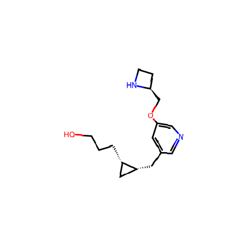 OCCC[C@H]1C[C@H]1Cc1cncc(OC[C@@H]2CCN2)c1